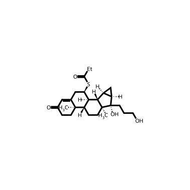 CCC(=O)S[C@@H]1CC2=CC(=O)CC[C@]2(C)[C@H]2CC[C@@]3(C)[C@@H]([C@H]4C[C@H]4[C@@]3(O)CCCO)[C@H]12